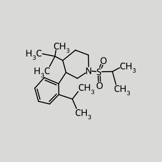 CC(C)c1ccccc1C1CN(S(=O)(=O)C(C)C)CCC1C(C)(C)C